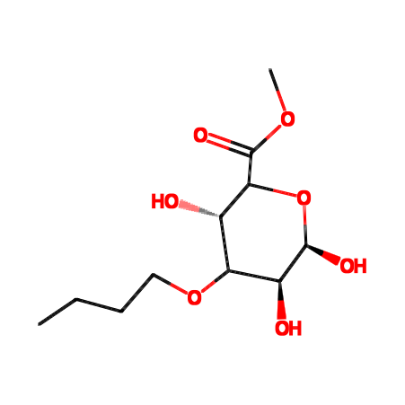 CCCCOC1[C@H](O)C(C(=O)OC)O[C@@H](O)[C@H]1O